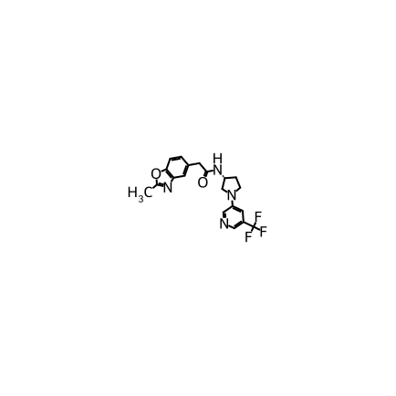 Cc1nc2cc(CC(=O)N[C@@H]3CCN(c4cncc(C(F)(F)F)c4)C3)ccc2o1